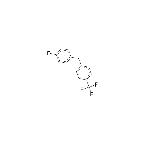 Fc1ccc(Cc2ccc(C(F)(F)F)cc2)cc1